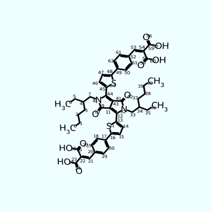 CCCCC(CC)CN1C(=O)C2=C(c3ccc(-c4ccc(C=C(C(=O)O)C(=O)O)cc4)s3)N(CC(CC)CCCC)C(=O)C2=C1c1ccc(-c2ccc(C=C(C(=O)O)C(=O)O)cc2)s1